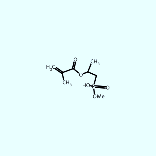 C=C(C)C(=O)OC(C)CP(=O)(O)OC